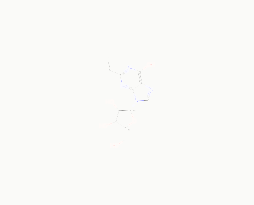 CC(=O)Cc1nc(O)c2ncn([C@@H]3O[C@H](CO)C(O)C3O)c2n1